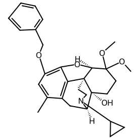 COC1(OC)CC[C@@]2(O)[C@H]3Cc4c(C)cc(OCc5ccccc5)c5c4[C@@]2(CCN3C2CC2)[C@H]1O5